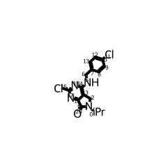 CC(C)N1Cc2c(NCc3ccc(Cl)cc3)nc(Cl)nc2C1=O